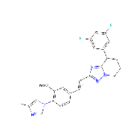 COc1cc(/C=C/c2nc3n(n2)CCCC3c2cc(F)cc(F)c2)ccc1-n1cnc(C)c1